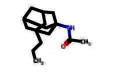 CCCC12CC3CC(C1)CC(NC(C)=O)(C3)C2